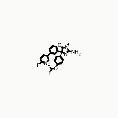 CN1C(=O)[C@@](c2ccc(OC(F)F)cc2)(c2cccc(C3C=CC(F)=NC3)c2)N=C1N